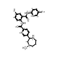 CN1CCCNC(c2ccc(C(=O)Nc3ccc(F)cc3C(=O)Nc3ccc(F)cn3)nc2)C1